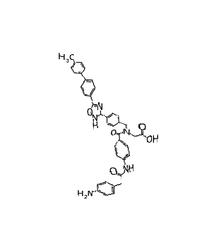 Cc1ccc(-c2ccc(C3=NC(c4ccc(CN(CC(=O)O)C(=O)c5ccc(NC(=O)Cc6ccc(N)cc6)cc5)cc4)NO3)cc2)cc1